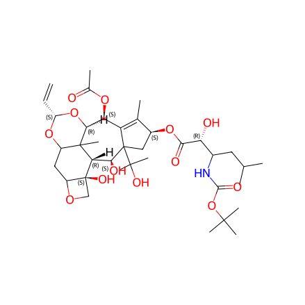 C=C[C@H]1OC2CC3OC[C@@]3(O)[C@H]3[C@H](O)C4(C(C)(C)O)C[C@H](OC(=O)[C@H](O)C(CC(C)C)NC(=O)OC(C)(C)C)C(C)=C4[C@H](OC(C)=O)[C@H](O1)C23C